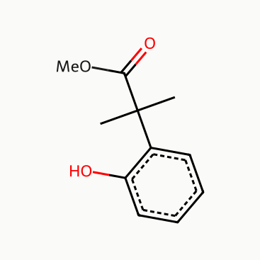 COC(=O)C(C)(C)c1ccccc1O